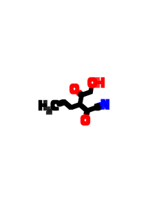 C=CCC(C(=O)C#N)C(=O)CO